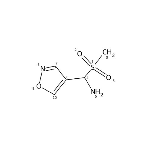 CS(=O)(=O)C(N)c1[c]noc1